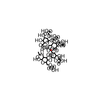 CC(=O)NC1C(O)OC(COS(=O)(=O)O)C(OC2OC(C(=O)O)C(OC3OC(CO)C(OC4OC(C(=O)O)C(O)C(O)C4OS(=O)(=O)O)C(OS(=O)(=O)O)C3NS(=O)(=O)O)C(O)C2OS(=O)(=O)O)C1O